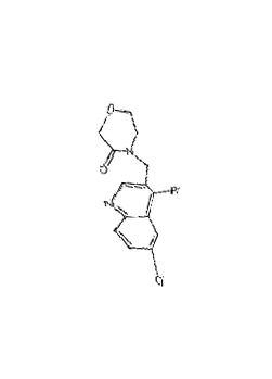 CC(C)c1c(CN2CCOCC2=O)cnc2ccc(Cl)cc12